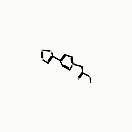 COC(=O)C[n+]1ccc(-c2cnns2)cc1